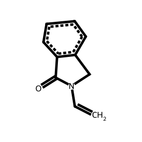 C=CN1Cc2ccccc2C1=O